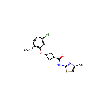 COc1ccc(Cl)cc1OC1CC(C(=O)Nc2nc(C(C)=O)cs2)C1